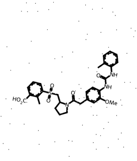 COc1cc(CC(=O)N2CCCC2CS(=O)(=O)c2cccc(C(=O)O)c2C)ccc1NC(=O)Nc1ccccc1C